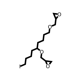 ICCCCC(CCCCOCC1CO1)OCC1CO1